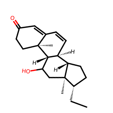 CC[C@H]1CC[C@H]2[C@@H]3C=CC4=CC(=O)CC[C@]4(C)[C@H]3C(O)C[C@]12C